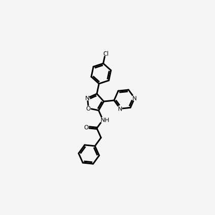 O=C(Cc1ccccc1)Nc1onc(-c2ccc(Cl)cc2)c1-c1ccncn1